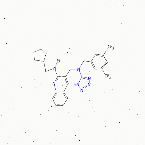 CCN(CC1CCCC1)c1nc2ccccc2cc1CN(Cc1cc(C(F)(F)F)cc(C(F)(F)F)c1)c1nnn[nH]1